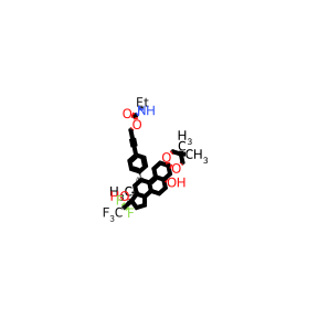 CCNC(=O)OCC#Cc1ccc([C@H]2C[C@@]3(C)C(CC[C@@]3(O)C(F)(F)C(F)(F)F)C3CCC4(O)CC5(CCC4=C32)OCC(C)(C)CO5)cc1